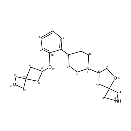 c1ccc(C2CCN(C3COC4(CNC4)C3)CC2)c(OC2CC3(COC3)C2)c1